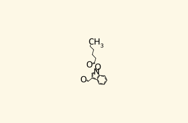 CCCCCC(=O)On1cc(C=O)c2ccccc21